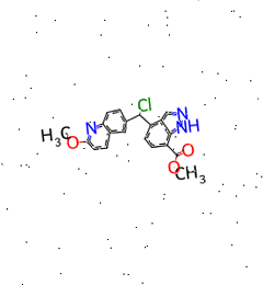 COC(=O)c1ccc(C(Cl)c2ccc3nc(OC)ccc3c2)c2cn[nH]c12